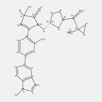 Cc1cc(-c2ccc3c(c2)ncn3C)ccc1C1=NC(C)(C)C(=O)N1C[C@@H]1CCN(C(=O)C2(O)CC2)C1